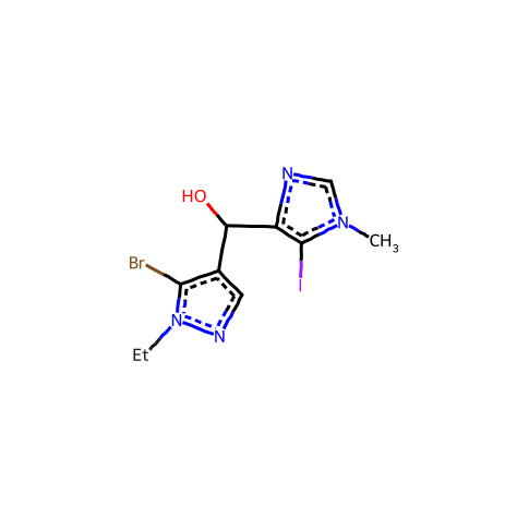 CCn1ncc(C(O)c2ncn(C)c2I)c1Br